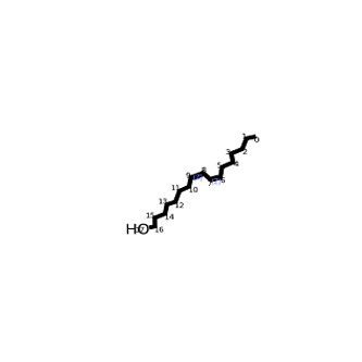 CCCCCC/C=C\C=C/CCCCCCCO